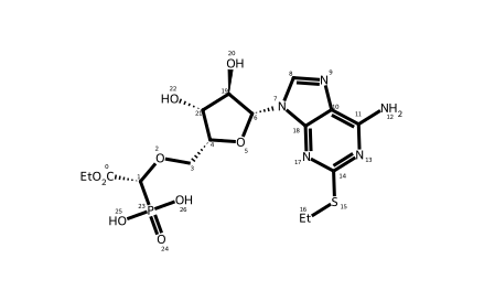 CCOC(=O)[C@H](OC[C@H]1O[C@@H](n2cnc3c(N)nc(SCC)nc32)[C@H](O)[C@H]1O)P(=O)(O)O